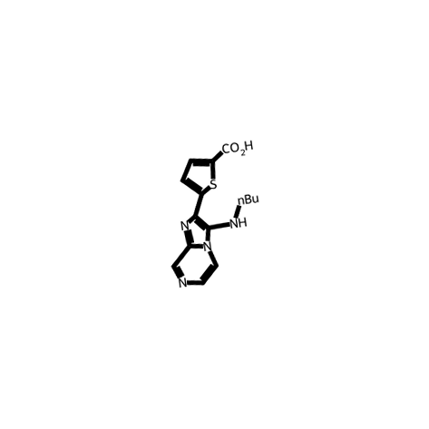 CCCCNc1c(-c2ccc(C(=O)O)s2)nc2cnccn12